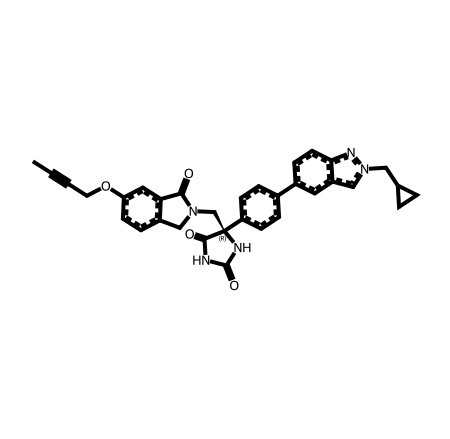 CC#CCOc1ccc2c(c1)C(=O)N(C[C@@]1(c3ccc(-c4ccc5nn(CC6CC6)cc5c4)cc3)NC(=O)NC1=O)C2